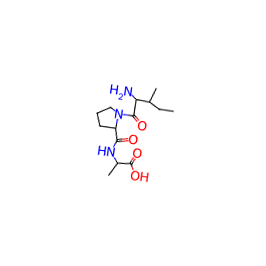 CCC(C)C(N)C(=O)N1CCCC1C(=O)NC(C)C(=O)O